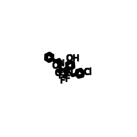 O=C(c1ncc(-c2ccccc2)o1)c1c(C(F)(F)F)n(Cc2ccc(Cl)cc2)c2ccc(O)cc12